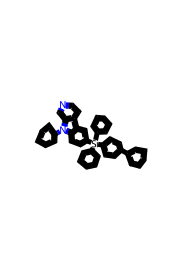 c1ccc(-c2ccc([Si](c3ccccc3)(c3ccccc3)c3ccc4c(c3)c3ccncc3n4-c3ccccc3)cc2)cc1